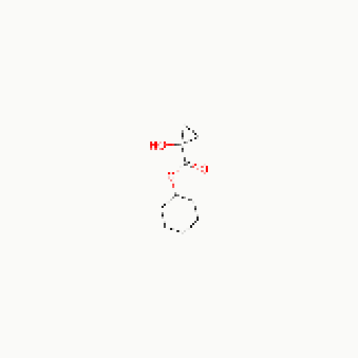 O=C(OC1CCCCC1)C1(O)CC1